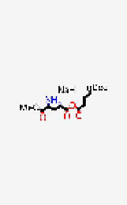 CCCCCCCCCCCCCC(=O)OC(=O)CCC(N)C(=O)OC.[NaH]